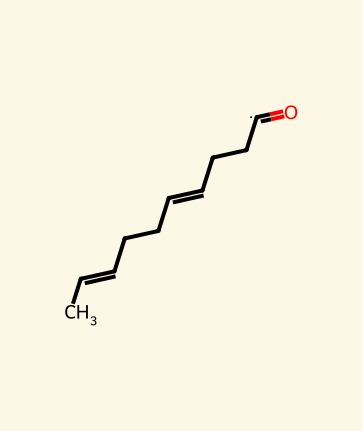 CC=CCCC=CCC[C]=O